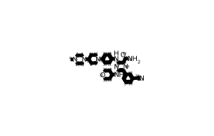 CN1CCN(C2CCN(c3ccc(Nc4nc(NC5CCOCC5)c(-c5cccc(C#N)c5)nc4C(N)=O)cc3)CC2)CC1